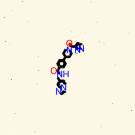 Cn1nccc1C(=O)N1CCC(c2ccc(C(=O)NCc3ccn4ccnc4c3)cc2)CC1